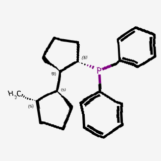 C[C@H]1CCC[C@@H]1[C@H]1CCC[C@@H]1P(c1ccccc1)c1ccccc1